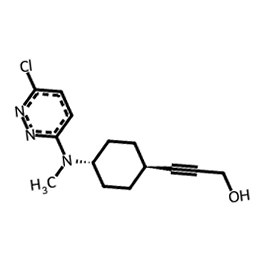 CN(c1ccc(Cl)nn1)[C@H]1CC[C@H](C#CCO)CC1